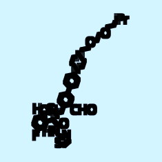 CC(C)CCOCCOCCN1CCN(c2ccc(-c3ccc(CN(C)C(C(=O)Nc4nccs4)c4cc(F)ccc4O)c(C=O)c3)cc2)CC1